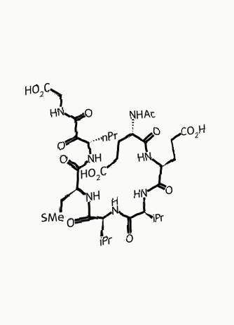 CCC[C@H](NC(=O)[C@H](CSC)NC(=O)[C@@H](NC(=O)[C@@H](NC(=O)[C@H](CCC(=O)O)NC(=O)[C@H](CCC(=O)O)NC(C)=O)C(C)C)C(C)C)C(=O)C(=O)NCC(=O)O